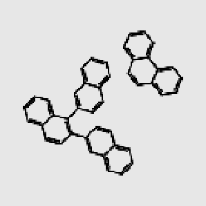 c1ccc2c(c1)ccc1ccccc12.c1ccc2cc(-c3ccc4ccccc4c3-c3ccc4ccccc4c3)ccc2c1